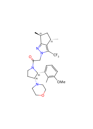 COc1cccc([C@@H]2[C@H](N3CCOCC3)CCN2C(=O)Cn2nc3c(c2C(F)(F)F)[C@@H](C)C[C@@H]3C)c1C